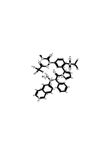 COC(=O)N(OC(=O)C(F)(F)F)c1ccc(S(=O)(=O)C(C)C)c(-c2cccn2C(=O)[C@@H](c2ccccc2)N(N)c2ccc3cnccc3c2)c1